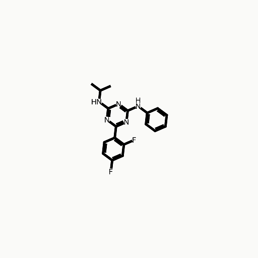 CC(C)Nc1nc(Nc2ccccc2)nc(-c2ccc(F)cc2F)n1